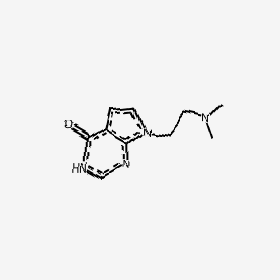 CN(C)CCn1ccc2c(=O)[nH]cnc21